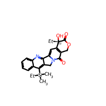 CC[C@@]1(O)C(=O)OCc2c1cc1n(c2=O)Cc2c-1nc1ccccc1c2[Si](C)(C)CC